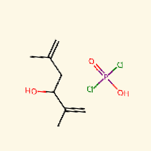 C=C(C)CC(O)C(=C)C.O=P(O)(Cl)Cl